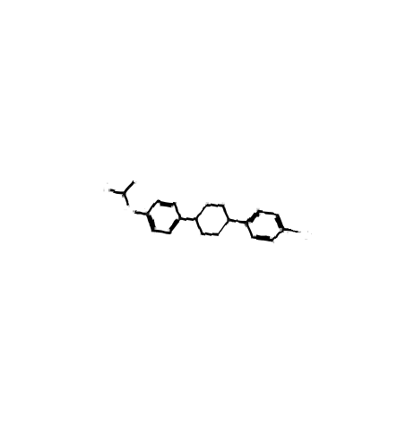 CCCCC(C)Oc1ccc(C2CCC(c3ccc(C#N)cc3)CC2)cc1